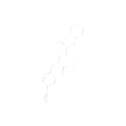 N#Cc1ccc(CC(CC(O)C(N)CC2CCCCC2)C(=O)O)cc1